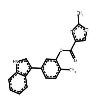 Cc1nc(C(=O)Oc2cc(-c3c[nH]c4ccccc34)ccc2C)co1